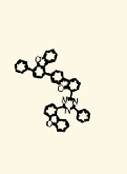 c1ccc(-c2nc(-c3cccc4c3oc3cc(-c5ccc(-c6ccccc6)c6oc7ccccc7c56)ccc34)nc(-c3cccc4oc5ccccc5c34)n2)cc1